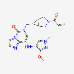 C=CC(=O)N1CC2C(C1)C2Cn1cc(Nc2cn(C)nc2OC)c2nccn2c1=O